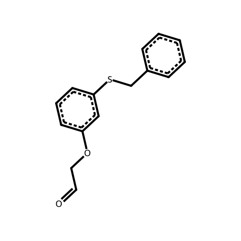 O=CCOc1cccc(SCc2ccccc2)c1